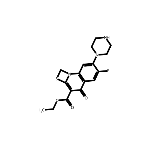 CCOC(=O)c1c2n(c3cc(N4CCNCC4)c(F)cc3c1=O)CS2